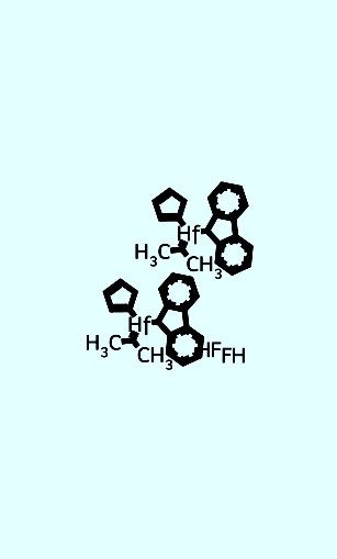 C[C](C)=[Hf]([C]1=CC=CC1)[CH]1c2ccccc2-c2ccccc21.C[C](C)=[Hf]([C]1=CC=CC1)[CH]1c2ccccc2-c2ccccc21.F.F